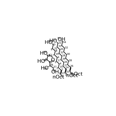 CCCCCCCCC=CCCCCCCCCO.CCCCCCCCC=CCCCCCCCCO.CCCCCCCCC=CCCCCCCCCO.OC[C@@H](O)[C@H]1OC[C@H](O)[C@H]1O